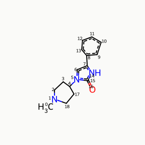 CN1CCC(n2cc(-c3ccccc3)[nH]c2=O)CC1